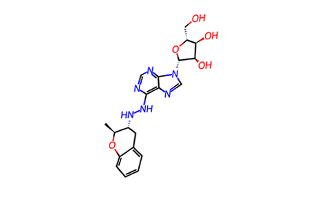 C[C@@H]1Oc2ccccc2C[C@H]1NNc1ncnc2c1ncn2[C@@H]1O[C@H](CO)[C@@H](O)[C@H]1O